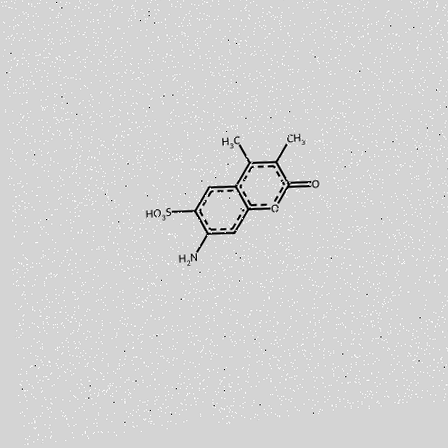 Cc1c(C)c2cc(S(=O)(=O)O)c(N)cc2oc1=O